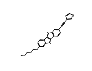 CCCCCCc1ccc2c(c1)sc1c3ccc(C#Cc4ccsc4)cc3sc21